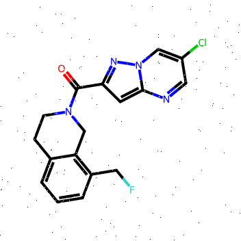 O=C(c1cc2ncc(Cl)cn2n1)N1CCc2cccc(CF)c2C1